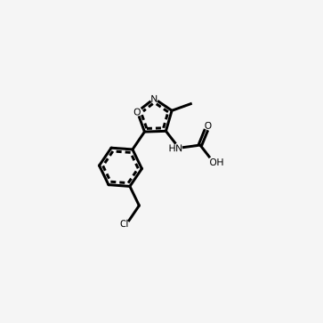 Cc1noc(-c2cccc(CCl)c2)c1NC(=O)O